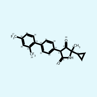 CC1(C2CC2)NC(=O)C(c2ccc(-c3ccc(C(F)(F)F)cc3C(F)(F)F)cc2)C1=O